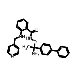 CC(N)(ONC(=O)c1ccccc1NCc1ccncc1)c1ccc(-c2ccccc2)cc1